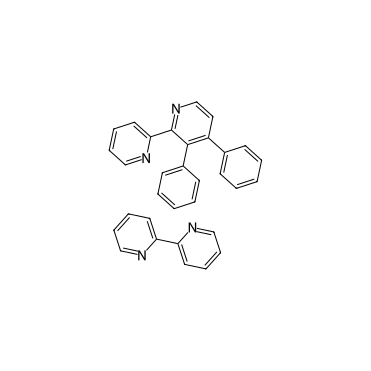 c1ccc(-c2ccccn2)nc1.c1ccc(-c2ccnc(-c3ccccn3)c2-c2ccccc2)cc1